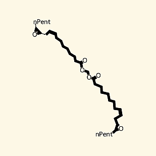 CCCCCC1OC1C/C=C\CCCCCCCC(=O)OCOC(=O)CCCCCCC/C=C\C[C@@H]1O[C@@H]1CCCCC